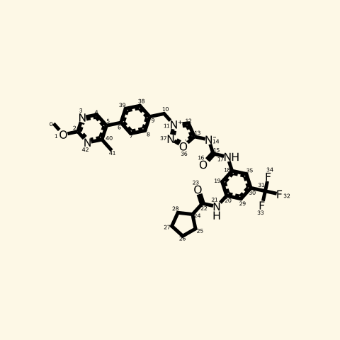 COc1ncc(-c2ccc(C[n+]3cc([N-]C(=O)Nc4cc(NC(=O)C5CCCC5)cc(C(F)(F)F)c4)on3)cc2)c(C)n1